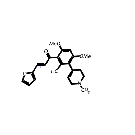 COc1cc(OC)c(C2=CCN(C)CC2)c(O)c1C(=O)/C=C/c1ccco1